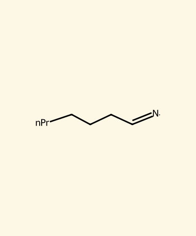 CCCCCCC=[N]